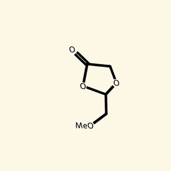 COCC1OCC(=O)O1